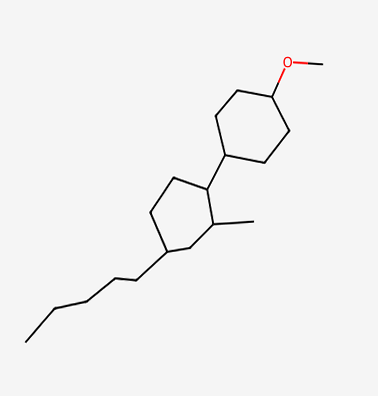 CCCCCC1CCC(C2CCC(OC)CC2)C(C)C1